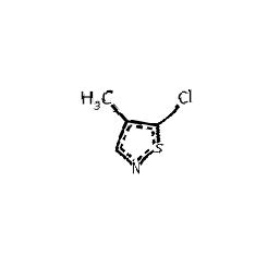 Cc1cnsc1Cl